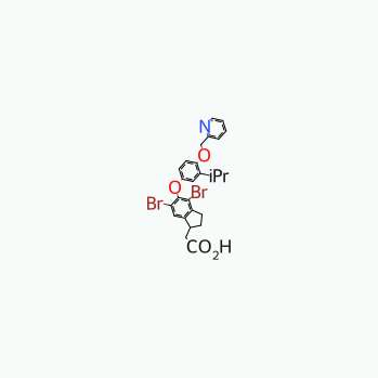 CC(C)c1cc(Oc2c(Br)cc3c(c2Br)CCC3CC(=O)O)ccc1OCc1ccccn1